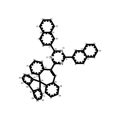 C1=C(c2nc(-c3ccc4ccccc4c3)nc(-c3ccc4ccccc4c3)n2)c2ccccc2C2(c3ccccc31)c1ccccc1-c1ccccc12